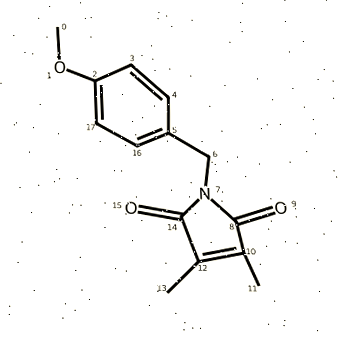 COc1ccc(CN2C(=O)C(C)=C(C)C2=O)cc1